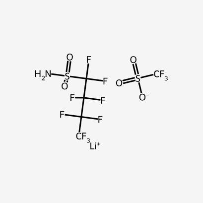 NS(=O)(=O)C(F)(F)C(F)(F)C(F)(F)C(F)(F)F.O=S(=O)([O-])C(F)(F)F.[Li+]